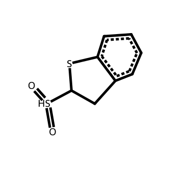 O=[SH](=O)C1Cc2ccccc2S1